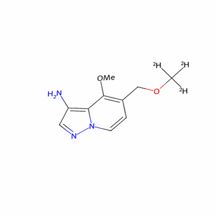 [2H]C([2H])([2H])OCc1ccn2ncc(N)c2c1OC